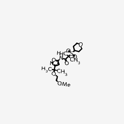 COCCOC(C)(C)c1cc(NC(=O)C(C)(C)S(=O)(=O)C2CCOCC2)on1